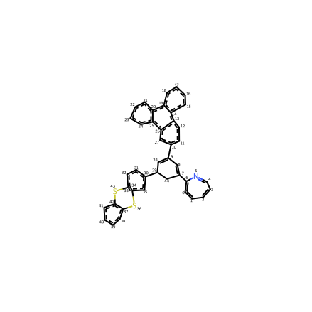 C1=CC=CC=NC=1C1=CC(c2ccc3c4ccccc4c4ccccc4c3c2)=CC(c2ccc3c(c2)Sc2ccccc2S3)C1